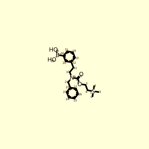 CS(C)(C)CCOC(=O)N(CCc1cccc(B(O)O)c1)Cc1ccccc1